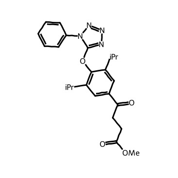 COC(=O)CCC(=O)c1cc(C(C)C)c(Oc2nnnn2-c2ccccc2)c(C(C)C)c1